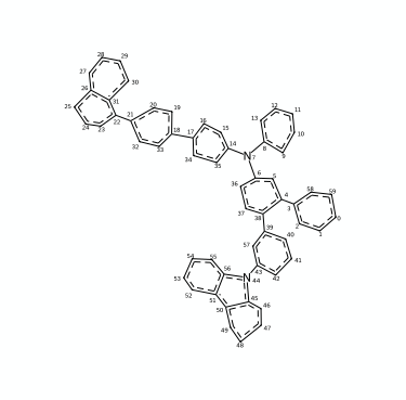 c1ccc(-c2cc(N(c3ccccc3)c3ccc(-c4ccc(-c5cccc6ccccc56)cc4)cc3)ccc2-c2cccc(-n3c4ccccc4c4ccccc43)c2)cc1